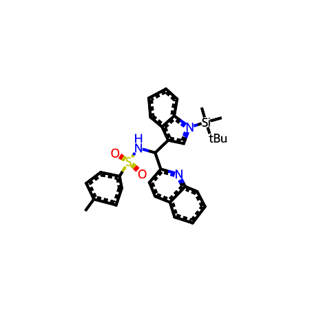 Cc1ccc(S(=O)(=O)NC(c2ccc3ccccc3n2)c2cn([Si](C)(C)C(C)(C)C)c3ccccc23)cc1